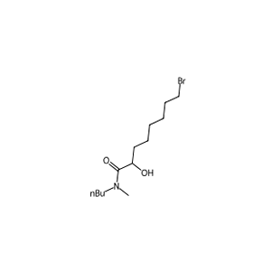 CCCCN(C)C(=O)C(O)CCCCCCBr